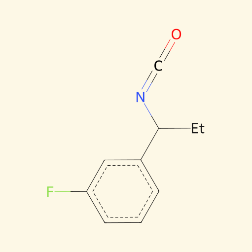 CCC(N=C=O)c1cccc(F)c1